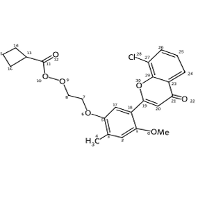 COc1cc(C)c(OCCOOC(=O)C2CCC2)cc1-c1cc(=O)c2cccc(Cl)c2o1